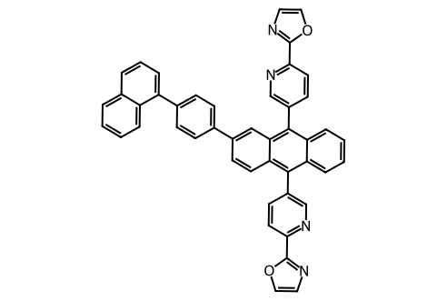 c1ccc2c(-c3ccc(-c4ccc5c(-c6ccc(-c7ncco7)nc6)c6ccccc6c(-c6ccc(-c7ncco7)nc6)c5c4)cc3)cccc2c1